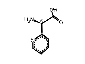 N[C@@H](C(=O)O)c1ccccn1